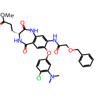 COC(=O)CC[C@H]1NC(=O)c2cc(Oc3ccc(Cl)c(N(C)C)c3)c(NC(=O)COCc3ccccc3)cc2NC1=O